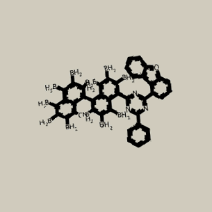 Bc1c(B)c(C#N)c2c(-c3c(B)c(B)c(B)c4c(-c5nc(-c6ccccc6)nc(-c6cccc7oc8ccccc8c67)n5)c(B)c(B)c(B)c34)c(B)c(B)c(B)c2c1B